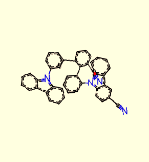 N#Cc1ccc2c(c1)c1ccccc1n2-c1ccccc1-c1c(C#N)cccc1-c1cccc(-n2c3ccccc3c3ccccc32)c1